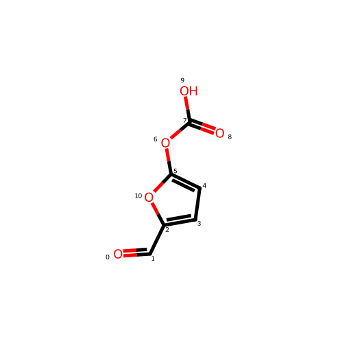 O=Cc1ccc(OC(=O)O)o1